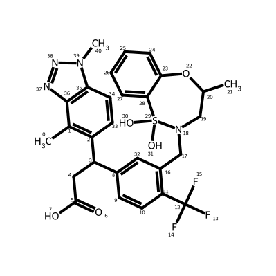 Cc1c(C(CC(=O)O)c2ccc(C(F)(F)F)c(CN3CC(C)Oc4ccccc4S3(O)O)c2)ccc2c1nnn2C